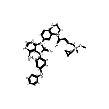 CO[N+](C)(C/C=C/C(=O)N1CCOc2ccc(-n3c(=O)n(-c4ccc(Oc5ccccc5)cc4)c4c(N)ncnc43)cc21)C1CC1